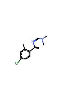 C=C(/N=C\N(C)C)c1ccc(Cl)cc1C